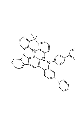 CC1(C)c2ccccc2N2c3c(cccc31)B1c3c(cc4c(sc5ccccc54)c32)-c2ccc(-c3ccccc3)cc2N1c1ccc(-c2ccccc2)cc1